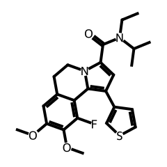 CCN(C(=O)c1cc(-c2ccsc2)c2n1CCc1cc(OC)c(OC)c(F)c1-2)C(C)C